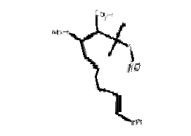 CCCC=CCCCC(CCCCCCCC)C(C(=O)O)C(C)(C)SN=O